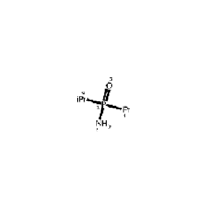 CC(C)P(N)(=O)C(C)C